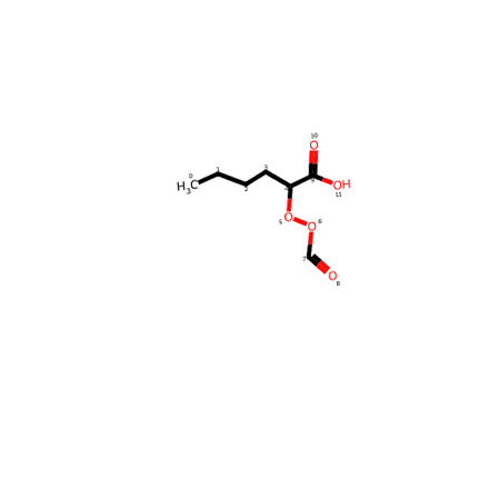 CCCCC(OOC=O)C(=O)O